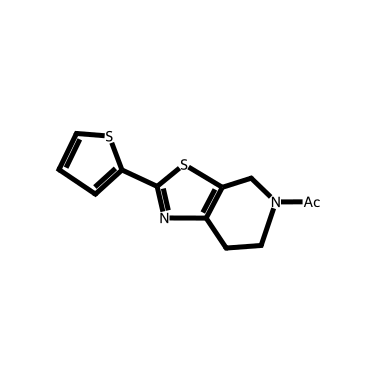 CC(=O)N1CCc2nc(-c3cccs3)sc2C1